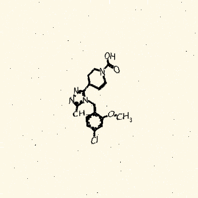 COc1cc(Cl)ccc1Cn1c(C)nnc1C1CCN(C(=O)O)CC1